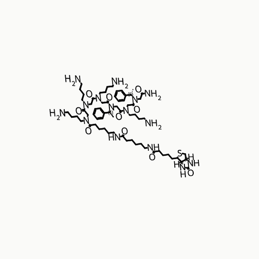 C[C@@H](c1ccccc1)N(CC(N)=O)C(=O)CN(CCCCN)C(=O)CN(C(=O)CN(CCCCN)C(=O)CN(CCCCN)C(=O)CN(CCCCN)C(=O)CCCCCNC(=O)CCCCCNC(=O)CCCCC1SC[C@@H]2NC(=O)N[C@H]12)[C@@H](C)c1ccccc1